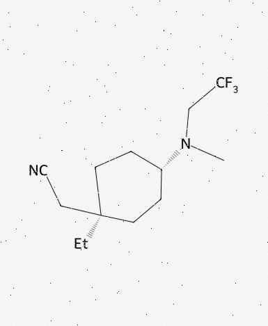 CC[C@]1(CC#N)CC[C@H](N(C)CC(F)(F)F)CC1